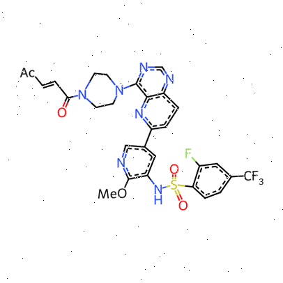 COc1ncc(-c2ccc3ncnc(N4CCN(C(=O)/C=C/C(C)=O)CC4)c3n2)cc1NS(=O)(=O)c1ccc(C(F)(F)F)cc1F